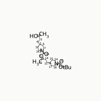 C[C@H](O)CCC1CCN(C(=O)O[C@@H](C)CCC2CCN(C(=O)OC(C)(C)C)CC2)CC1